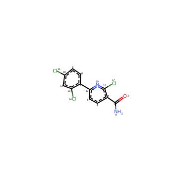 NC(=O)c1ccc(-c2ccc(Cl)cc2Cl)nc1Cl